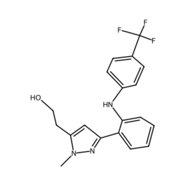 Cn1nc(-c2ccccc2Nc2ccc(C(F)(F)F)cc2)cc1CCO